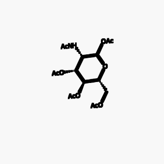 CC(=O)N[C@@H]1C(OC(C)=O)O[C@H](COC(C)=O)[C@@H](OC(C)=O)[C@@H]1OC(C)=O